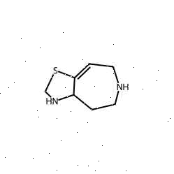 C1=C2SCNC2CCNC1